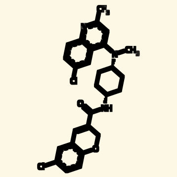 CN(c1cc(C(F)(F)F)nc2ccc(Cl)cc12)[C@H]1CC[C@@H](NC(=O)C2=Cc3cc(Cl)ccc3OC2)CC1